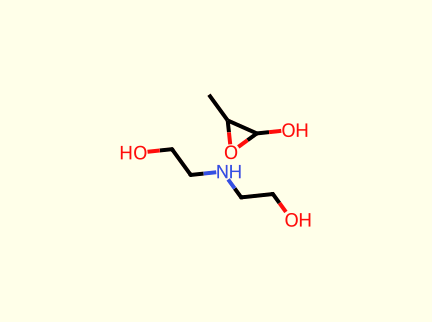 CC1OC1O.OCCNCCO